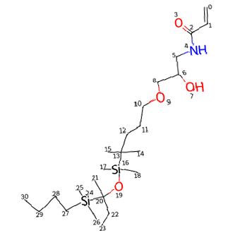 C=CC(=O)NCC(O)COCCCC(C)(C)[Si](C)(C)OC(C)(CC)[Si](C)(C)CCCC